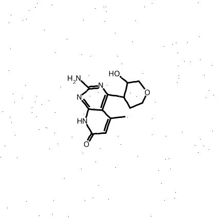 Cc1cc(=O)[nH]c2nc(N)nc(C3CCOCC3O)c12